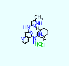 Cc1cc(Nc2cc3ncccc3c(NC3C[C@H]4CCC[C@@H](C3)N4)n2)n[nH]1.Cl.Cl